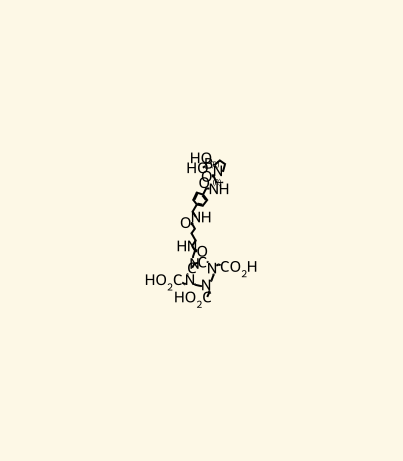 C[C@@H](NC(=O)c1ccc(CNC(=O)CCCNC(=O)CN2CCN(CC(=O)O)CCN(CC(=O)O)CCN(CC(=O)O)CC2)cc1)C(=O)N1CCC[C@H]1B(O)O